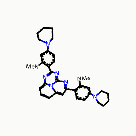 CNc1cc(N2CCCCC2)ccc1C1=NC2=NC(c3ccc(N4CCCCC4)cc3NC)=NC3=CC=CC(=C1)N32